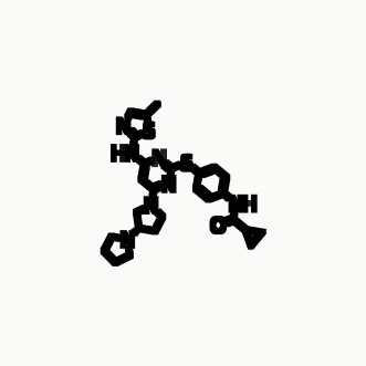 Cc1cnc(Nc2cc(N3CC[C@@H](N4CCCC4)C3)nc(Sc3ccc(NC(=O)C4CC4)cc3)n2)s1